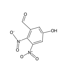 O=Cc1cc(O)cc([N+](=O)[O-])c1[N+](=O)[O-]